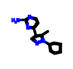 Cc1c(-c2ccnc(N)n2)cnn1-c1ccccc1